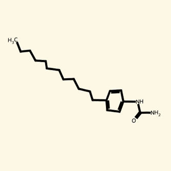 CCCCCCCCCCCCc1ccc(NC(N)=O)cc1